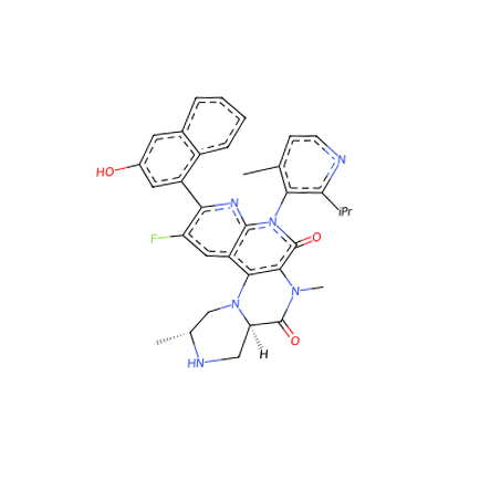 Cc1ccnc(C(C)C)c1-n1c(=O)c2c(c3cc(F)c(-c4cc(O)cc5ccccc45)nc31)N1C[C@@H](C)NC[C@@H]1C(=O)N2C